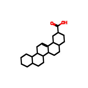 O=C(O)C1CCC2CCC3C(=CCC4C5CCCCC5CCC34)C2C1